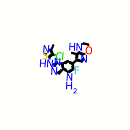 Cc1nsc(Nc2ncc3c(N)c(F)c(-c4cnc5c(c4C)NCCO5)cc3n2)c1Cl